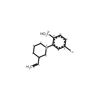 C=CC1CCCN(c2cc(I)ccc2C(=O)O)C1